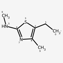 [CH2]Cc1sc(NC)nc1C